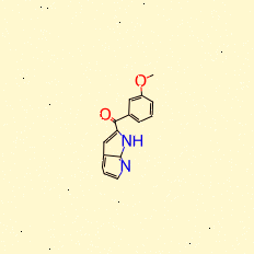 COc1cccc(C(=O)c2cc3cccnc3[nH]2)c1